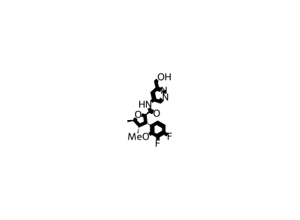 COc1c([C@@H]2[C@H](C)[C@@H](C)O[C@H]2C(=O)Nc2cnnc(CO)c2)ccc(F)c1F